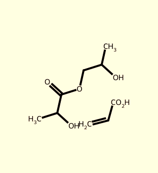 C=CC(=O)O.CC(O)COC(=O)C(C)O